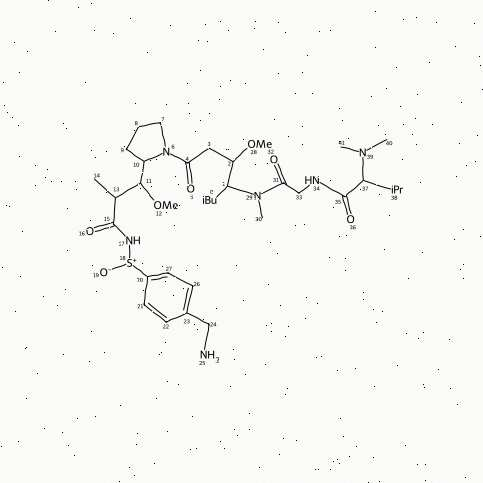 CCC(C)C(C(CC(=O)N1CCCC1C(OC)C(C)C(=O)N[S+]([O-])c1ccc(CN)cc1)OC)N(C)C(=O)CNC(=O)C(C(C)C)N(C)C